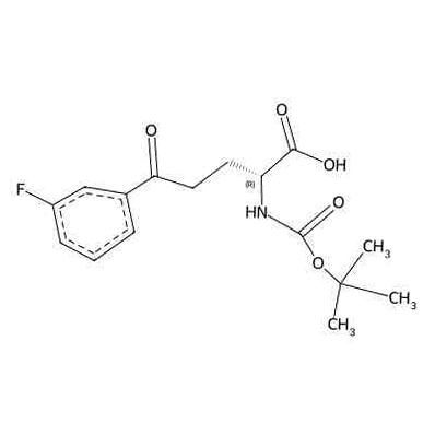 CC(C)(C)OC(=O)N[C@H](CCC(=O)c1cccc(F)c1)C(=O)O